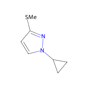 CSc1ccn(C2CC2)n1